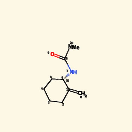 C=C1CCCC[C@@H]1NC(=O)NC